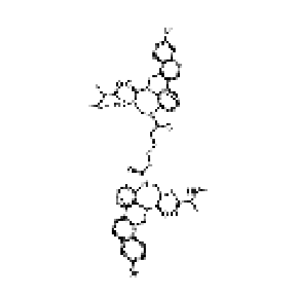 CN[C@@H](C)C(=O)N[C@H]1CN(C(=O)CCCCC(=O)N2C[C@H](NC(=O)[C@H](C)NC)C(=O)N(Cc3c(OC)ccc4cc(Br)ccc34)c3ccccc32)c2ccccc2N(Cc2c(OC)ccc3cc(Br)ccc23)C1=O